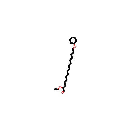 CCOC([C]=O)CCCCCCCCCCCCCCOC1CC[CH]CC1